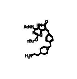 CCCCOc1nc(NC(C)=O)c2[nH]c(=O)n(Cc3ccc(CN4CCC(CCN)CC4)cc3)c2n1